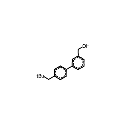 CC(C)(C)Cc1ccc(-c2cccc(CO)c2)cc1